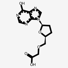 O=C(O)COC[C@@H]1CC[C@H](n2cnc3c(O)ncnc32)O1